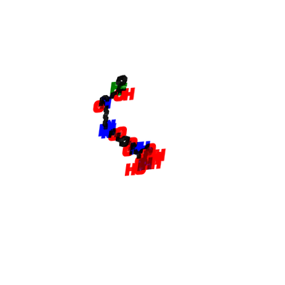 O=C(Cc1ccc(OC(=O)NCCCC(O)(OP(O)O)O[PH](=O)O)cc1)OCn1nnc(CCCCCCN2C(=O)CC[C@@H]2/C=C/[C@@H](O)C(F)(F)c2ccccc2)n1